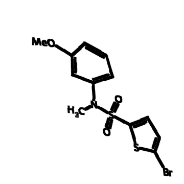 COc1cccc(N(C)S(=O)(=O)c2ccc(Br)s2)c1